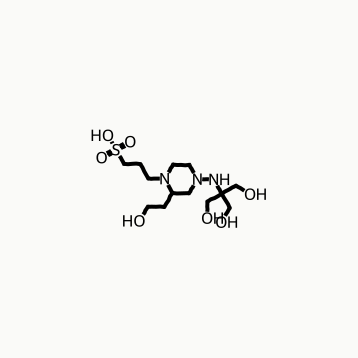 O=S(=O)(O)CCCN1CCN(NC(CO)(CO)CO)CC1CCO